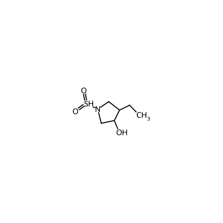 CCC1CN([SH](=O)=O)CC1O